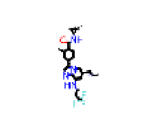 C/C=C/c1cc(NCCC(F)(F)F)c2ncc(-c3ccc(C(=O)NC4C[C@@H]4C)c(C)c3)n2c1